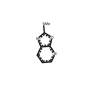 CSc1nc2cccnc2o1